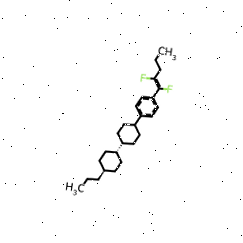 CCC/C(F)=C(\F)c1ccc(C2CCC([C@H]3CC[C@H](CCC)CC3)CC2)cc1